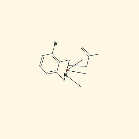 C=C(C)CC1C2c3c(Br)cccc3C(CC2(C)C)N1C